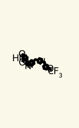 O=C1CCN(c2cnn3ccc(CC4CCN(Cc5cccc(OC(F)(F)F)c5)CC4)cc23)C(=O)N1